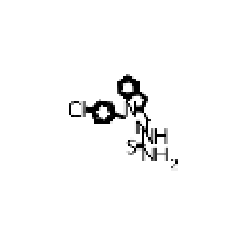 NC(=S)N/N=C/[C@@H]1Cc2ccccc2N1Cc1ccc(Cl)cc1